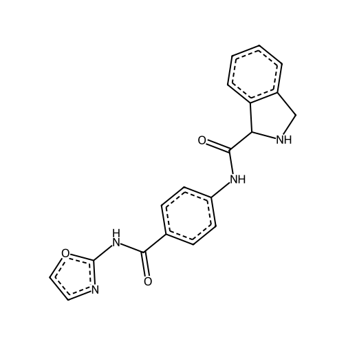 O=C(Nc1ncco1)c1ccc(NC(=O)C2NCc3ccccc32)cc1